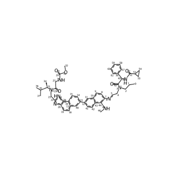 CCCN(C/C=N/c1ccc2cc(-c3ccc4c(ccc5nc(CN(C(=O)CNC(=O)OC)[C@H](C)C(C)C)[nH]c54)c3)ccc2c1NC)C(=O)[C@H](NC(=O)C1CC1)c1ccccc1